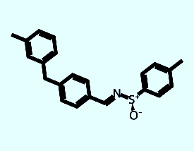 Cc1ccc([S@@+]([O-])/N=C/c2ccc(Cc3cccc(C)c3)cc2)cc1